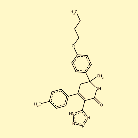 CCCCOc1ccc(C2(C)CC(c3ccc(C)cc3)=C(c3nnn[nH]3)C(=O)N2)cc1